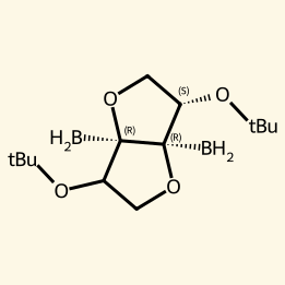 B[C@]12OC[C@H](OC(C)(C)C)[C@@]1(B)OCC2OC(C)(C)C